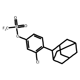 O=S(=O)(Oc1ccc(C2C3CC4CC(C3)CC2C4)c(Cl)c1)C(F)(F)F